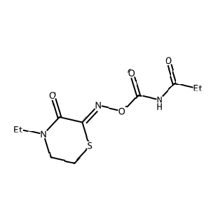 CCC(=O)NC(=O)ON=C1SCCN(CC)C1=O